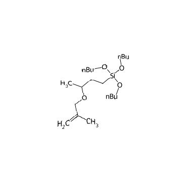 C=C(C)COC(C)CC[Si](OCCCC)(OCCCC)OCCCC